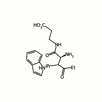 CCC(=O)C(C(C)C)[C@H](N)C(=O)NCCC(=O)O.c1ccc2[nH]ccc2c1